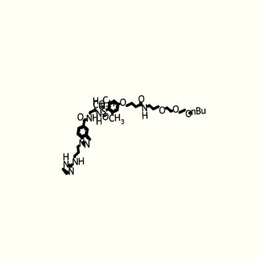 CCCCOCCOCCOCCCNC(=O)CCCOc1cc(C)c(S(=O)(=O)NC(CNC(=O)c2ccc3c(cnn3CCCNc3ncc[nH]3)c2)C(=O)O)c(C)c1